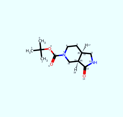 CC(C)(C)OC(=O)N1CC[C@H]2CNC(=O)[C@H]2C1